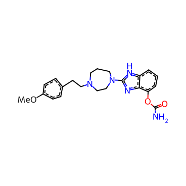 COc1ccc(CCN2CCCN(c3nc4c(OC(N)=O)cccc4[nH]3)CC2)cc1